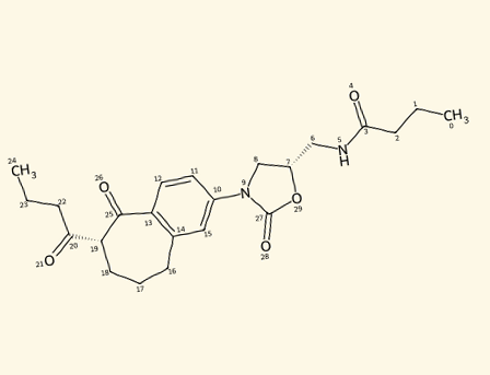 CCCC(=O)NC[C@H]1CN(c2ccc3c(c2)CCC[C@H](C(=O)CCC)C3=O)C(=O)O1